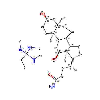 CCC(NC)(NC)NC.C[C@H](CCC(N)=O)[C@H]1CCC2C3CC[C@@H]4C[C@H](O)CC[C@]4(C)C3C[C@H](O)[C@@]21C